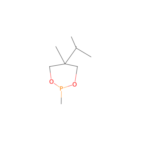 C[C](C)C1(C)COP(C)OC1